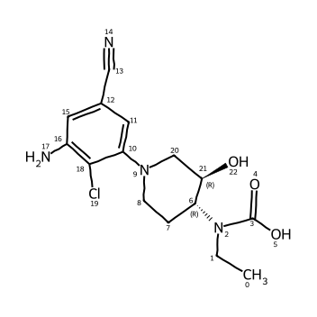 CCN(C(=O)O)[C@@H]1CCN(c2cc(C#N)cc(N)c2Cl)C[C@H]1O